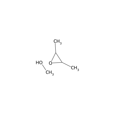 CC1OC1C.CO